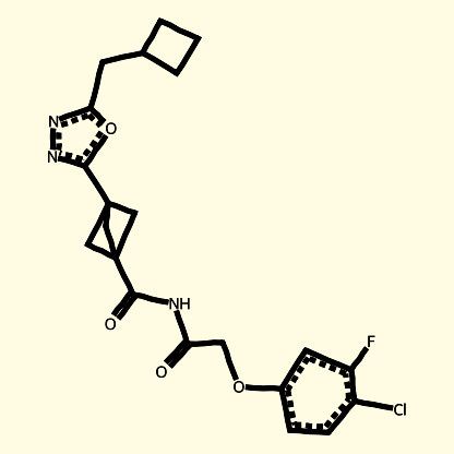 O=C(COc1ccc(Cl)c(F)c1)NC(=O)C12CC(c3nnc(CC4CCC4)o3)(C1)C2